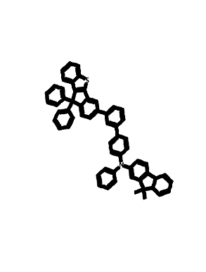 CC1(C)c2cc(N(c3ccccc3)c3ccc(-c4cccc(-c5ccc6c(c5)-c5sc7ccccc7c5C6(c5ccccc5)c5ccccc5)c4)cc3)ccc2C2C=CC=CC21